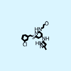 COCCNc1cc(Nc2cc(C)n[nH]2)cc(SCc2cccc(Cl)c2)n1